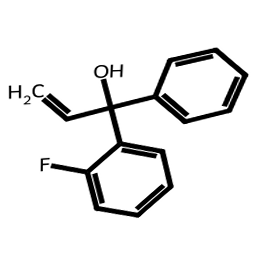 C=CC(O)(c1ccccc1)c1ccccc1F